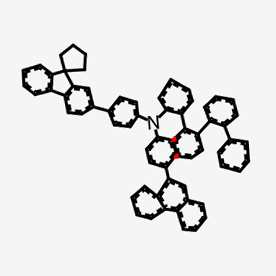 c1ccc(-c2ccccc2-c2ccccc2-c2ccccc2N(c2ccc(-c3ccc4c(c3)C3(CCCC3)c3ccccc3-4)cc2)c2ccc(-c3cc4ccccc4c4ccccc34)cc2)cc1